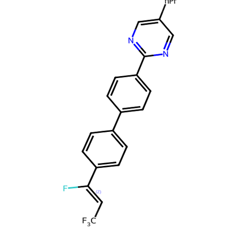 CCCc1cnc(-c2ccc(-c3ccc(/C(F)=C/C(F)(F)F)cc3)cc2)nc1